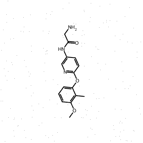 COc1cccc(Oc2ccc(NC(=O)CN)cn2)c1C